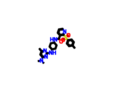 Cc1ccc(S(=O)(=O)c2ncccc2C(=O)N[C@H]2CC[C@@H](Nc3nc(C)cc(N(C)C)n3)CC2)cc1